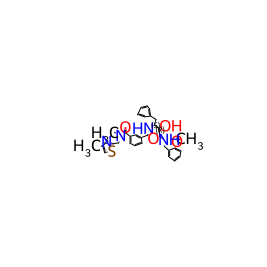 COc1ccccc1CNC[C@@H](O)[C@H](Cc1ccccc1)NC(=O)c1cccc(C(=O)N(C)Cc2nc(C)cs2)c1